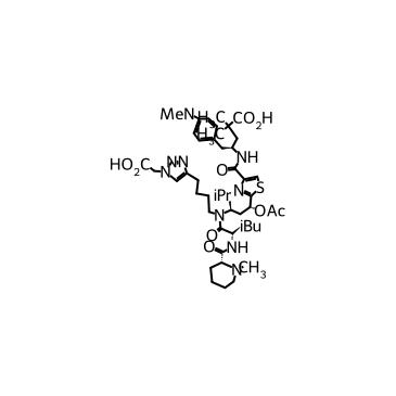 CC[C@H](C)[C@H](NC(=O)[C@H]1CCCCN1C)C(=O)N(CCCCc1cn(CC(=O)O)nn1)[C@H](C[C@@H](OC(C)=O)c1nc(C(=O)N[C@@H](Cc2ccc(NC)cc2)CC(C)(C)C(=O)O)cs1)C(C)C